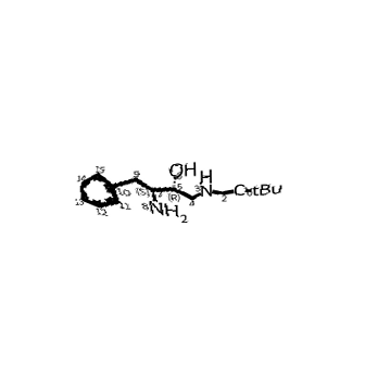 CC(C)(C)CCNC[C@@H](O)[C@@H](N)Cc1ccccc1